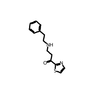 O=C(CCNCCc1ccccc1)c1nccs1